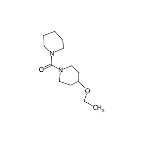 CCOC1CCN(C(=O)N2CCCCC2)CC1